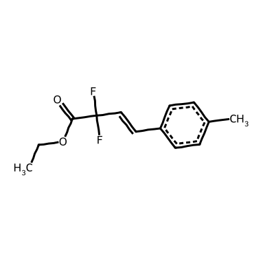 CCOC(=O)C(F)(F)C=Cc1ccc(C)cc1